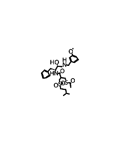 COc1cccc(CNC[C@@H](O)[C@H](Cc2ccccc2)NC(=O)C(CSC(C)=O)CS(=O)(=O)CCC(C)C)c1